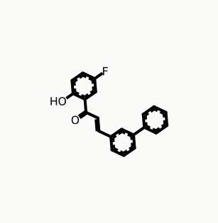 O=C(C=Cc1cccc(-c2ccccc2)c1)c1cc(F)ccc1O